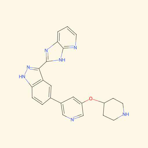 c1cnc2[nH]c(-c3n[nH]c4ccc(-c5cncc(OC6CCNCC6)c5)cc34)nc2c1